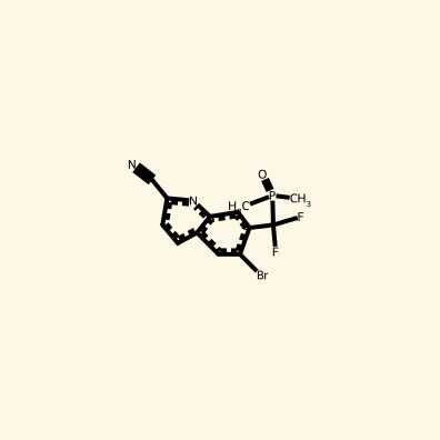 CP(C)(=O)C(F)(F)c1cc2nc(C#N)ccc2cc1Br